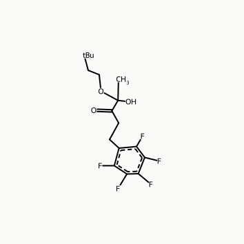 CC(C)(C)CCOC(C)(O)C(=O)CCc1c(F)c(F)c(F)c(F)c1F